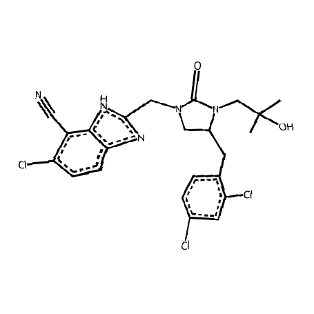 CC(C)(O)CN1C(=O)N(Cc2nc3ccc(Cl)c(C#N)c3[nH]2)CC1Cc1ccc(Cl)cc1Cl